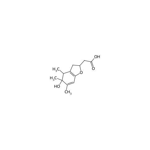 CC1=CC2=C(CC(CC(=O)O)O2)C(C)C1(C)O